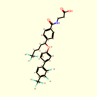 O=C(O)CCNC(=O)c1ccc(C(CCCC(F)(F)F)Oc2ccc(-c3ccc(C(F)(F)F)c(F)c3F)cc2)cc1